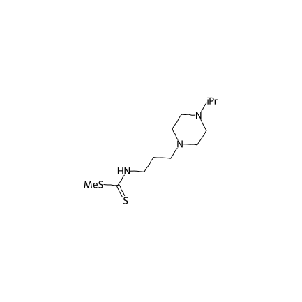 CSC(=S)NCCCN1CCN(C(C)C)CC1